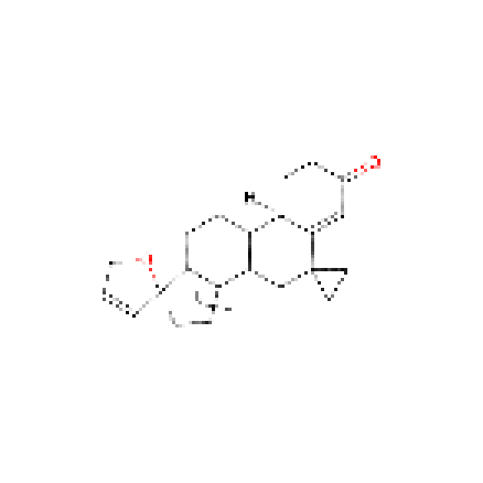 CC[C@]12CCC3C(CC4(CC4)C4=CC(=O)CC[C@@H]43)C1CC[C@@]21C=CCO1